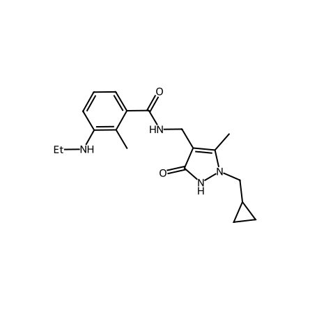 CCNc1cccc(C(=O)NCc2c(C)n(CC3CC3)[nH]c2=O)c1C